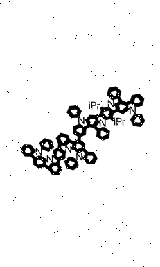 CC(C)c1c2c3cc4c(c5cc(-c6cc7c8ccccc8n(-c8ccccc8)c7c7c6c6cccc8c9cc%10c(cc9n7c86)c6cccc7c8ccc9c%11ccccc%11n(-c%11ccccc%11)c9c8n%10c67)ccc5n4-c4ccccc4)c4c5ccccc5n(c2c(C(C)C)c2c5cc6c(c7ccccc7n6-c6ccccc6)c6c7ccccc7n(c12)c56)c34